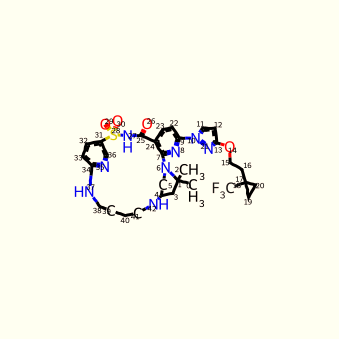 CC1(C)CC2CN1c1nc(-n3ccc(OCCC4(C(F)(F)F)CC4)n3)ccc1C(=O)NS(=O)(=O)c1ccc(nc1)NCCCCN2